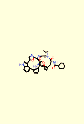 CC(C)[C@@H]1NC(=O)[C@@H](NC(=O)C2CCCCC2)Cc2ccc3c(c2)C24c5cccc(c5NC2O3)-c2cccc3[nH]cc(c23)-c2cnc(o2)-c2nc1oc24